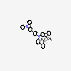 CC1C=CC=CC1C1=CC(N(c2ccc(-c3ccc4c(c3)c3ccccc3n4-c3ccccc3)cc2)c2ccc3c(c2)C(C)(C)c2ccccc2-3)CC=C1